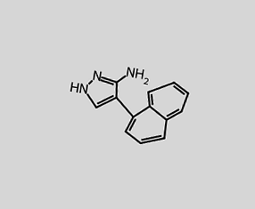 Nc1n[nH]cc1-c1cccc2ccccc12